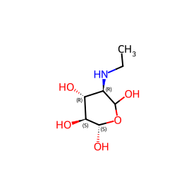 CCN[C@H]1C(O)O[C@H](O)[C@@H](O)[C@@H]1O